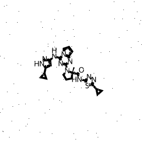 C[C@@]1(C(=O)Nc2nnc(C3CC3)s2)CCCN1c1nc(Nc2cc(C3CC3)[nH]n2)n2cccc2n1